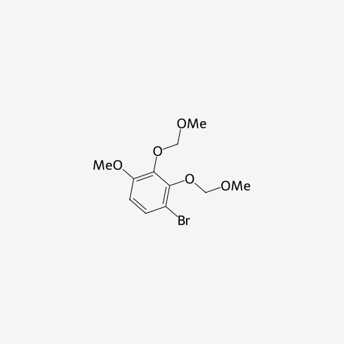 COCOc1c(Br)ccc(OC)c1OCOC